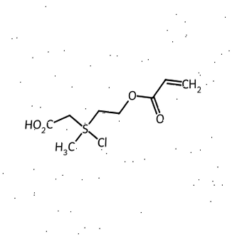 C=CC(=O)OCCS(C)(Cl)CC(=O)O